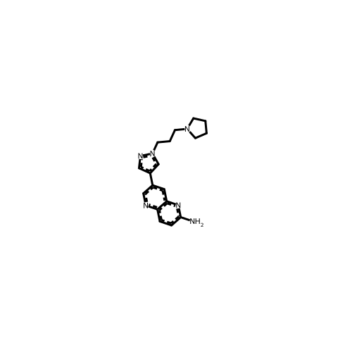 Nc1ccc2ncc(-c3cnn(CCCN4CCCC4)c3)cc2n1